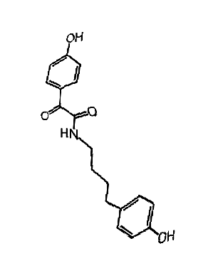 O=C(NCCCCc1ccc(O)cc1)C(=O)c1ccc(O)cc1